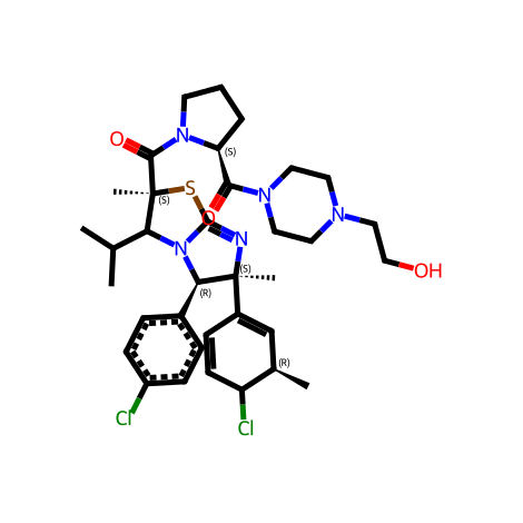 CC(C)C1N2C(=N[C@@](C)(C3=C[C@@H](C)C(Cl)C=C3)[C@H]2c2ccc(Cl)cc2)S[C@]1(C)C(=O)N1CCC[C@H]1C(=O)N1CCN(CCO)CC1